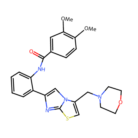 COc1ccc(C(=O)Nc2ccccc2-c2cn3c(CN4CCOCC4)csc3n2)cc1OC